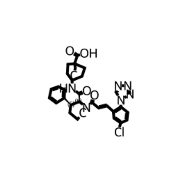 O=C(NC12CCC(C(=O)O)(CC1)CC2)[C@@H]1[C@H](c2ccccc2)CCCN1C(=O)C=Cc1cc(Cl)ccc1-n1cnnn1